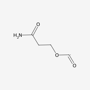 NC(=O)CCO[C]=O